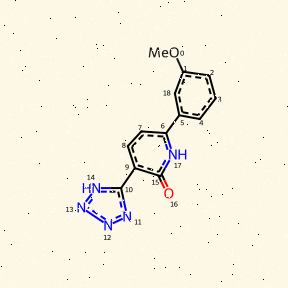 COc1cccc(-c2ccc(-c3nnn[nH]3)c(=O)[nH]2)c1